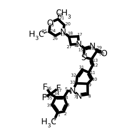 Cc1ccc(CN2N=CC3C=C(/C=C4\SC(N5CC(N6C[C@@H](C)O[C@@H](C)C6)C5)=NC4=O)C=CC32)c(C(F)(F)F)c1